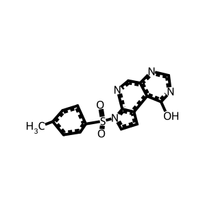 Cc1ccc(S(=O)(=O)n2ccc3c4c(O)ncnc4cnc32)cc1